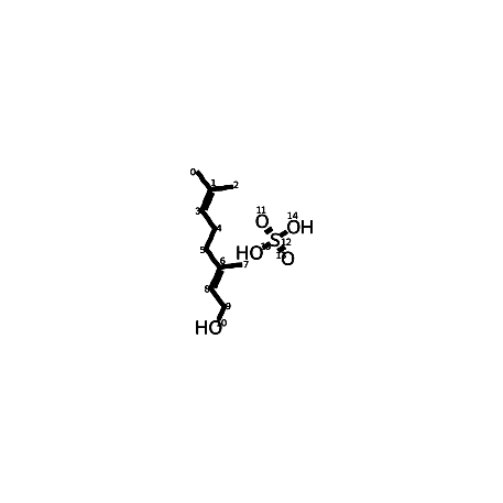 CC(C)=CCC/C(C)=C/CO.O=S(=O)(O)O